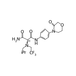 CC(C)CN(CC(F)(F)F)[C@@H](C(N)=O)C(=O)Nc1ccc(N2CCOCC2=O)cc1